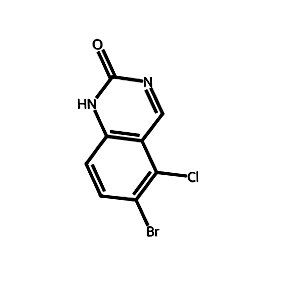 O=c1ncc2c(Cl)c(Br)ccc2[nH]1